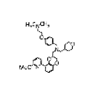 COc1cccc(-c2cccc3c2OC(CN(Cc2ccc(OCCN(C)C)cc2)CC2CCOCC2)CO3)n1